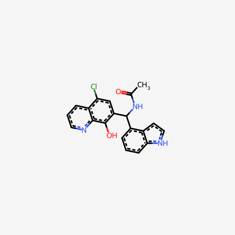 CC(=O)NC(c1cc(Cl)c2cccnc2c1O)c1cccc2[nH]ccc12